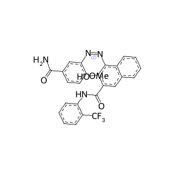 COc1ccc(C(N)=O)cc1/N=N\c1c(O)c(C(=O)Nc2ccccc2C(F)(F)F)cc2ccccc12